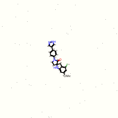 COc1cc(F)c2c(c1)NC1(CCN(c3ccc(-c4cn[nH]c4)cc3)C1=O)C2